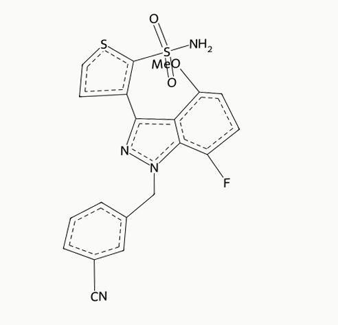 COc1ccc(F)c2c1c(-c1ccsc1S(N)(=O)=O)nn2Cc1cccc(C#N)c1